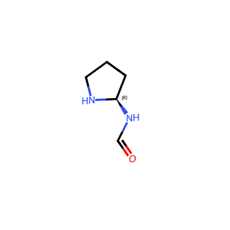 O=CN[C@@H]1CCCN1